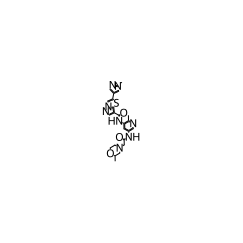 Cc1ncc(NC(=O)CN2CCOC(C)C2)cc1NC(=O)c1cnn2cc(-c3cnn(C)c3)sc12